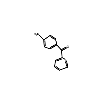 Nc1ccc(C(=O)c2ccccn2)cc1